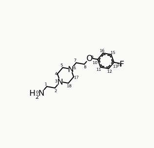 NCCN1CCN(CCOc2ccc(F)cc2)CC1